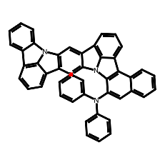 c1ccc(N(c2ccccc2)c2cc3ccccc3c3c4cccc5c6cc7c(nc6n(c23)c54)c2cccc3c4ccccc4n7c32)cc1